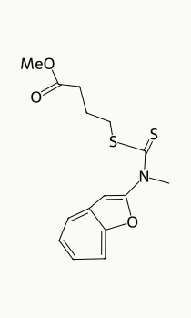 COC(=O)CCCSC(=S)N(C)c1cc2ccccc2o1